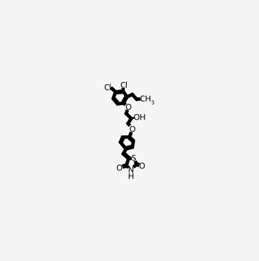 CCCc1c(OC[C@@H](O)COc2ccc(/C=C3\SC(=O)NC3=O)cc2)ccc(Cl)c1Cl